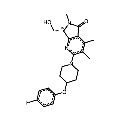 Cc1c(N2CCC(Oc3ccc(F)cc3)CC2)nc2c(c1C)C(=O)N(C)[C@H]2CO